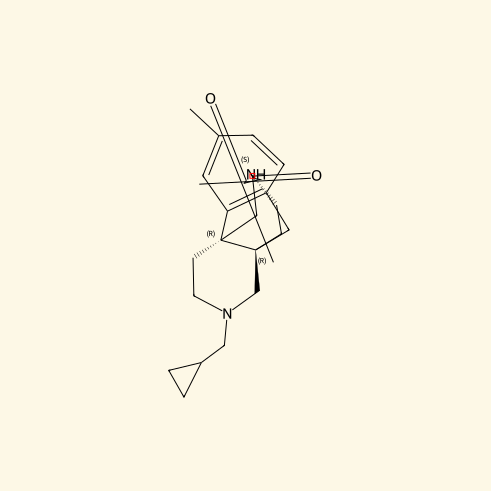 Cc1ccc2c(c1)[C@]13CCN(CC4CC4)C[C@]1(CC[C@@]1(C3)NC(=O)CC1=O)C2